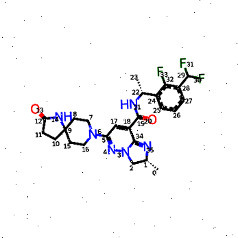 C[C@@H]1CN2N=C(N3CCC4(CCC(=O)N4)CC3)C=C(C(=O)N[C@H](C)c3cccc(C(F)F)c3F)C2=N1